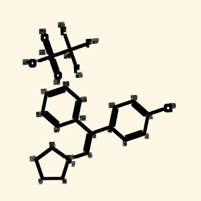 Clc1ccc(C(=C[S+]2CCCC2)c2ccccc2)cc1.O=S(=O)([O-])C(F)(F)F